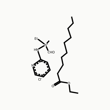 CCCCCCCCCC(=O)OCC.CC[N+](C)(C=O)Nc1ccccn1.[Cl-]